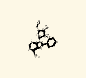 Nc1ncnc2c1nc(-c1ccccc1)n2[C@@H]1O[C@H](CCl)[C@@H](O)[C@H]1O